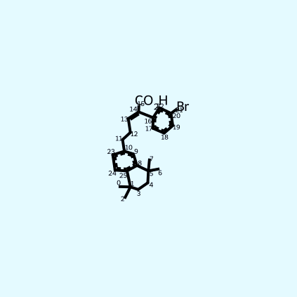 CC1(C)CCC(C)(C)c2cc(CC/C=C(/C(=O)O)c3cccc(Br)c3)ccc21